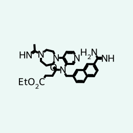 CCOC(=O)CCC(=O)N(Cc1ccc2ccc(C(=N)N)cc2c1)c1cnccc1N1CCCN(C(C)=N)CC1